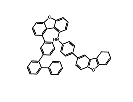 C1=Cc2oc3ccc(-c4ccc(Nc5cccc6oc7cccc(-c8cccc(-c9ccccc9-c9ccccc9)c8)c7c56)cc4)cc3c2CC1